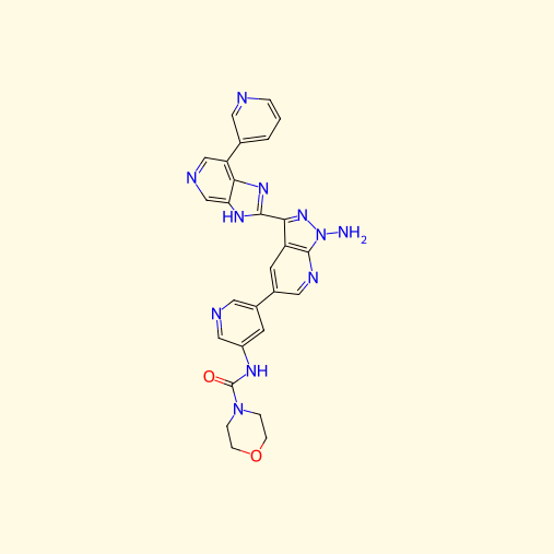 Nn1nc(-c2nc3c(-c4cccnc4)cncc3[nH]2)c2cc(-c3cncc(NC(=O)N4CCOCC4)c3)cnc21